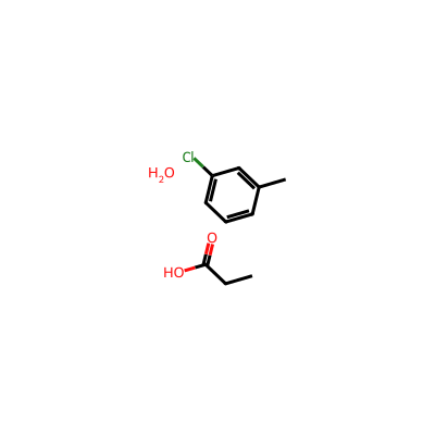 CCC(=O)O.Cc1cccc(Cl)c1.O